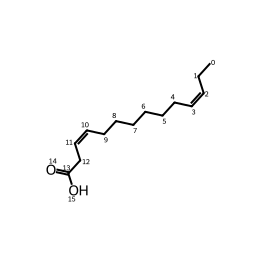 CC/C=C\CCCCCC/C=C\CC(=O)O